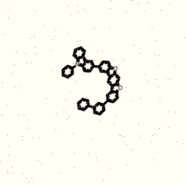 c1ccc(-c2cccc(-c3ccc4oc5cc6oc7ccc(-c8ccc9c(c8)c8ccccc8n9-c8ccccc8)cc7c6cc5c4c3)c2)cc1